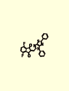 O=C1C(=Cc2nc3sc(-c4ccccc4)nc3n2-c2ccccc2)C(=O)c2c(F)ccc(F)c21